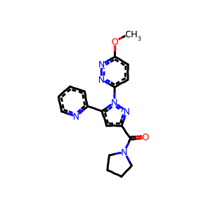 COc1ccc(-n2nc(C(=O)N3CCCC3)cc2-c2ccccn2)nn1